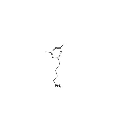 Cc1cc(C)cc(CCCCP)c1